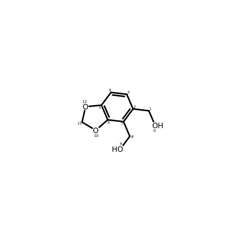 OCc1ccc2c(c1CO)OCO2